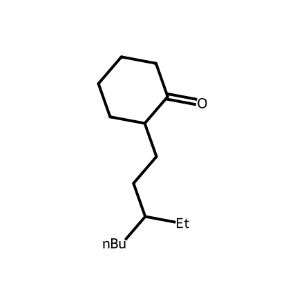 CCCCC(CC)CCC1CCCCC1=O